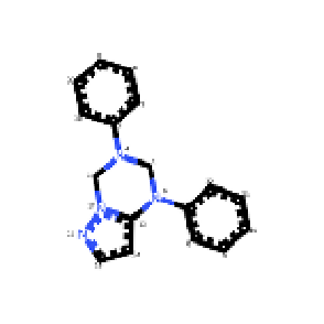 c1ccc(N2CN(c3ccccc3)c3ccnn3C2)cc1